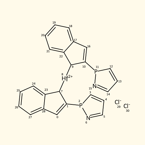 C1=C(p2cccn2)[CH]([Hf+2][CH]2C(p3cccn3)=Cc3ccccc32)c2ccccc21.[Cl-].[Cl-]